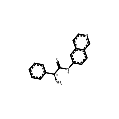 N[C@H](C(=S)Nc1ccc2cnccc2c1)c1ccccc1